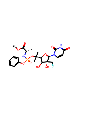 CC(C)OC(=O)[C@H](C)NP(=O)(Oc1ccccc1)OC(C)(C)[C@H]1O[C@@H](n2ccc(=O)[nH]c2=O)[C@@](O)(CF)C1O